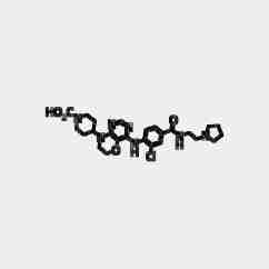 O=C(NCCN1CCCC1)c1ccc(Nc2ncnc3c2OCCN3C2CCN(C(=O)O)CC2)c(Cl)c1